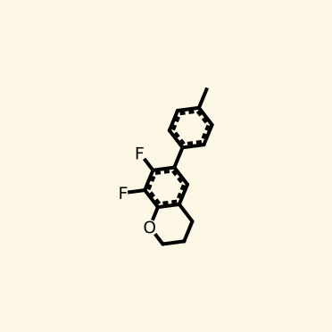 Cc1ccc(-c2cc3c(c(F)c2F)OCCC3)cc1